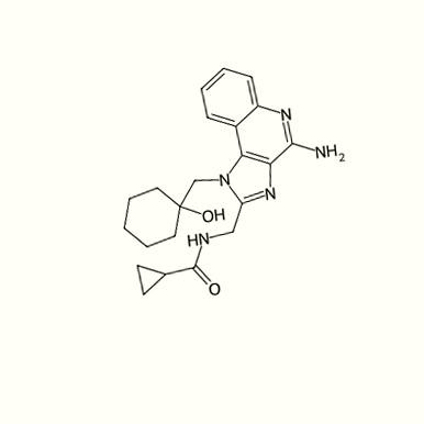 Nc1nc2ccccc2c2c1nc(CNC(=O)C1CC1)n2CC1(O)CCCCC1